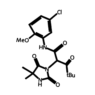 COc1ccc(Cl)cc1NC(=O)C(C(=O)C(C)(C)C)N1C(=O)NC(C)(C)C1=O